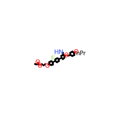 C=CC(=O)OCCCOc1ccc(-c2ccc(-c3ccc(OCc4ccc(OCCC)cc4)c(C=N)c3)cc2F)cc1